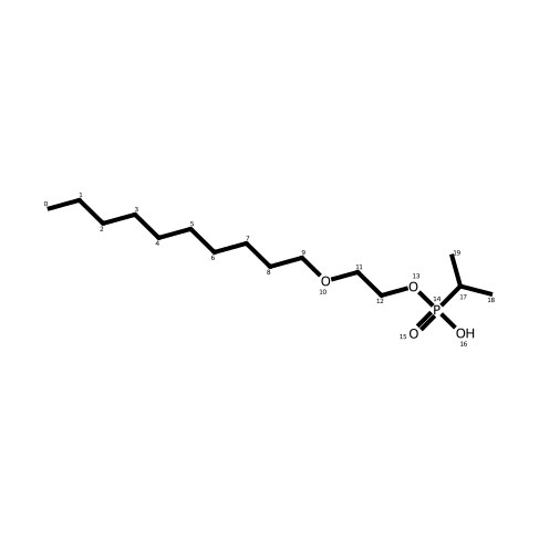 CCCCCCCCCCOCCOP(=O)(O)C(C)C